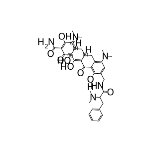 CN(C)c1cc(CNC(=O)C(Cc2ccccc2)N(C)C)c(O)c2c1C[C@@H]1C[C@H]3[C@@H](N(C)C)C(O)=C(C(N)=O)C(=O)[C@]3(O)C(O)=C1C2=O